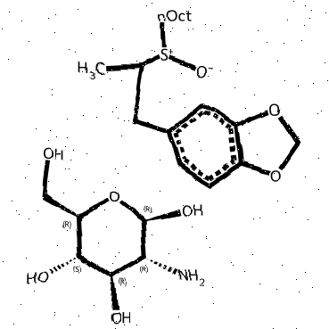 CCCCCCCC[S+]([O-])C(C)Cc1ccc2c(c1)OCO2.N[C@@H]1[C@@H](O)[C@H](O)[C@@H](CO)O[C@H]1O